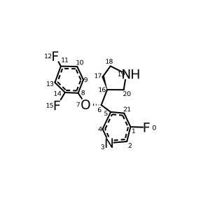 Fc1cncc([C@H](Oc2ccc(F)cc2F)[C@H]2CCNC2)c1